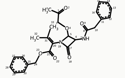 CC(=O)COC1C(NC(=O)Cc2ccccc2)C(=O)N1C(C(=O)OCc1ccccc1)=C(C)C